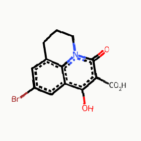 O=C(O)c1c(O)c2cc(Br)cc3c2n(c1=O)CCC3